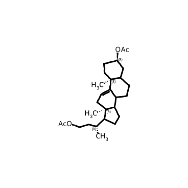 CC(=O)OCC[C@@H](C)C1CCC2C3CCC4C[C@H](OC(C)=O)CC[C@]4(C)C3=CC[C@@]21C